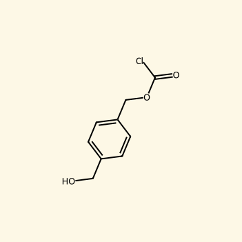 O=C(Cl)OCc1ccc(CO)cc1